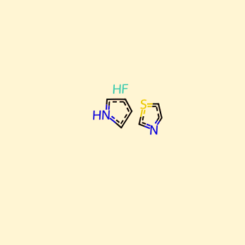 F.c1cc[nH]c1.c1cscn1